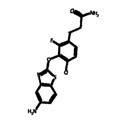 NC(=O)C[CH]c1ccc(Cl)c(Oc2nc3cc(N)ccc3s2)c1F